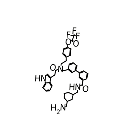 NCC1CCCC(CNC(=O)c2cccc(-c3cccc(CN(CCc4ccc(OC(=O)C(F)(F)F)cc4)C(=O)Cc4c[nH]c5ccccc45)c3)c2)C1